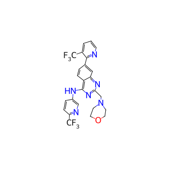 FC(F)(F)c1ccc(Nc2nc(CN3CCOCC3)nc3cc(-c4ncccc4C(F)(F)F)ccc23)cn1